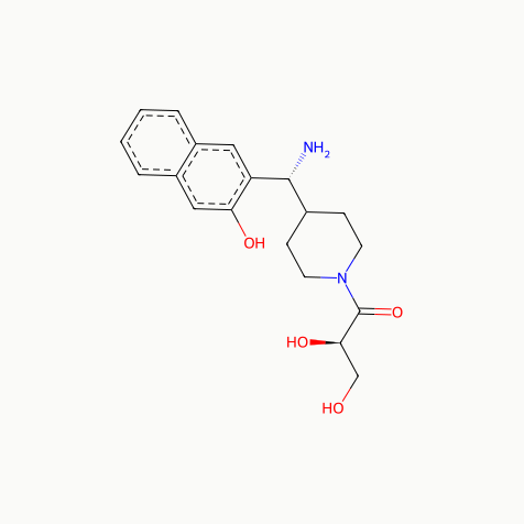 N[C@@H](c1cc2ccccc2cc1O)C1CCN(C(=O)[C@H](O)CO)CC1